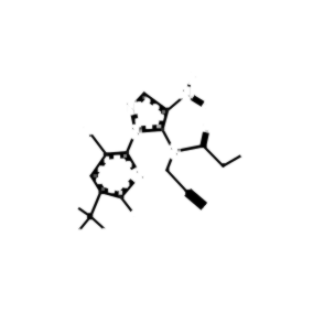 C#CCN(C(=O)CC)c1c([N+](=O)[O-])cnn1-c1nc(Cl)c(C(F)(F)F)cc1Cl